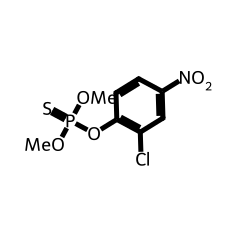 COP(=S)(OC)Oc1ccc([N+](=O)[O-])cc1Cl